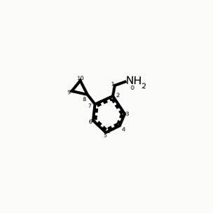 NCc1cc[c]cc1C1CC1